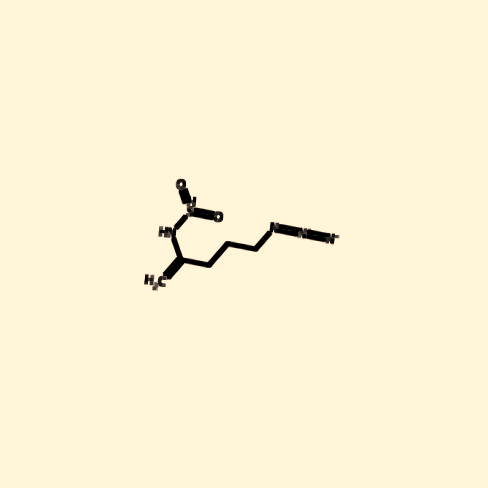 C=C(CCCN=[N+]=[N-])N[SH](=O)=O